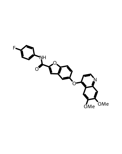 COc1cc2nccc(Oc3ccc4oc(C(=O)Nc5ccc(F)cc5)cc4c3)c2cc1OC